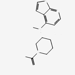 C[C@@H]1CCN(C(=O)O)C[C@@H]1N(C)c1ccnc2[nH]ccc12